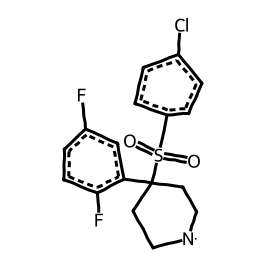 O=S(=O)(c1ccc(Cl)cc1)C1(c2cc(F)ccc2F)CC[N]CC1